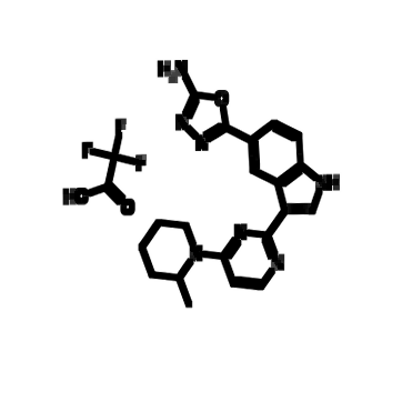 CC1CCCCN1c1ccnc(-c2c[nH]c3ccc(-c4nnc(N)o4)cc23)n1.O=C(O)C(F)(F)F